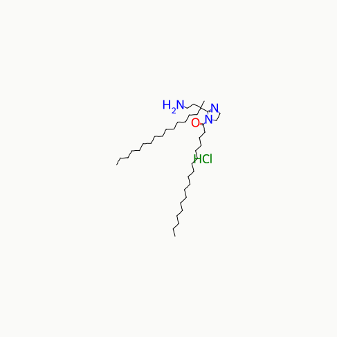 CCCCCCCCCCCCCCCCCC(=O)N1CCN=C1C(C)(CCN)CCCCCCCCCCCCCCC.Cl